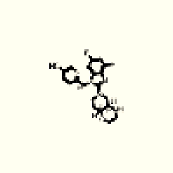 C[C@H](c1ccc(C#N)cn1)n1c(N2CC[C@H]3OCCN[C@@H]3C2)nc2c(F)cc(F)cc21